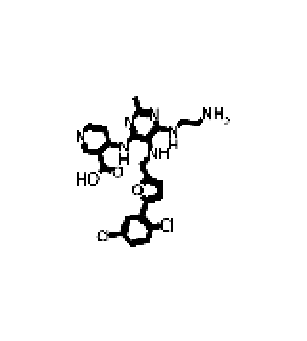 Cc1nc(NCCN)c(NCc2ccc(-c3cc(Cl)ccc3Cl)o2)c(Nc2ccncc2C(=O)O)n1